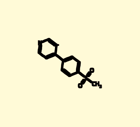 CS(=O)(=O)c1ccc(-c2[c]cncc2)cc1